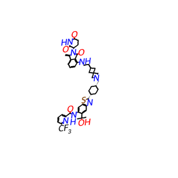 C=C1c2cccc(NCCC3CC4(C3)CN(C[C@H]3CC[C@@H](c5nc6cc(C(C)(C)O)c(NC(=O)c7cccc(C(F)(F)F)n7)cc6s5)CC3)C4)c2C(=O)N1C1CCC(=O)NC1=O